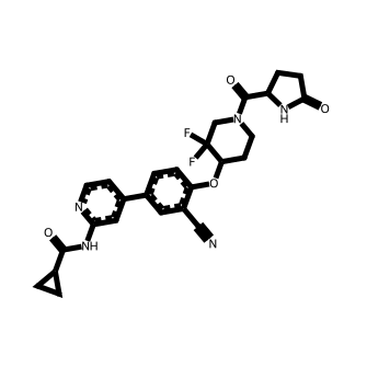 N#Cc1cc(-c2ccnc(NC(=O)C3CC3)c2)ccc1OC1CCN(C(=O)C2CCC(=O)N2)CC1(F)F